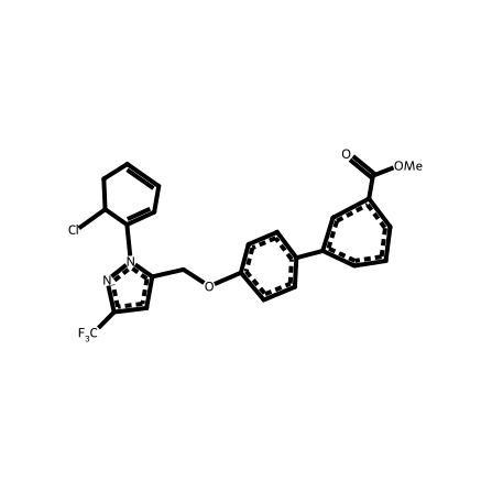 COC(=O)c1cccc(-c2ccc(OCc3cc(C(F)(F)F)nn3C3=CC=CCC3Cl)cc2)c1